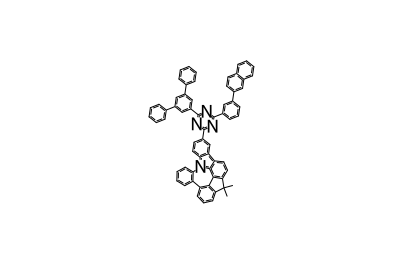 CC1(C)c2cccc3c2-c2c1ccc1c4cc(-c5nc(-c6cccc(-c7ccc8ccccc8c7)c6)nc(-c6cc(-c7ccccc7)cc(-c7ccccc7)c6)n5)ccc4n(c21)-c1ccccc1-3